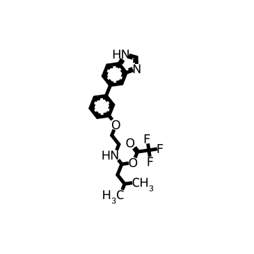 CC(C)CC(NCCOc1cccc(-c2ccc3[nH]cnc3c2)c1)OC(=O)C(F)(F)F